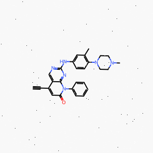 C#Cc1cc(=O)n(-c2ccccc2)c2nc(Nc3ccc(N4CCN(C)CC4)c(C)c3)ncc12